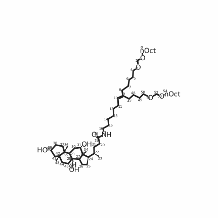 CCCCCCCCOCOCCCCC/C(=C/CCCCCCNC(=O)CC[C@@H](C)[C@H]1CCC2[C@H]3C(C[C@H](O)[C@@]21C)[C@@]1(C)CC[C@@H](O)C[C@@]1(C)C[C@H]3O)CCCCOCOCCCCCCCC